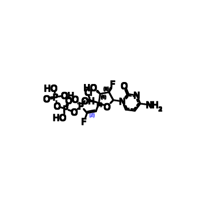 Nc1ccn(C2O[C@@](/C=C(/F)P(=O)(O)OP(=O)(O)OP(=O)(O)O)(CCl)[C@@H](O)[C@H]2F)c(=O)n1